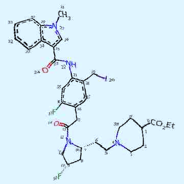 CCOC(=O)C1CCN(CC[C@@H]2C[C@H](F)CN2C(=O)Cc2cc(CI)c(NC(=O)c3cn(C)c4ccccc34)cc2F)CC1